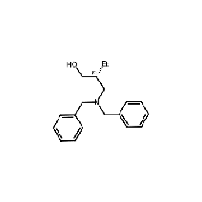 CC[C@@H](CO)CN(Cc1ccccc1)Cc1ccccc1